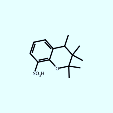 CC1c2cccc(S(=O)(=O)O)c2OC(C)(C)C1(C)C